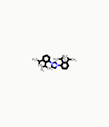 CC(C)c1cccc(N2CCN(c3cccc(C(C)C)c3C(C)C)C2)c1C(C)C